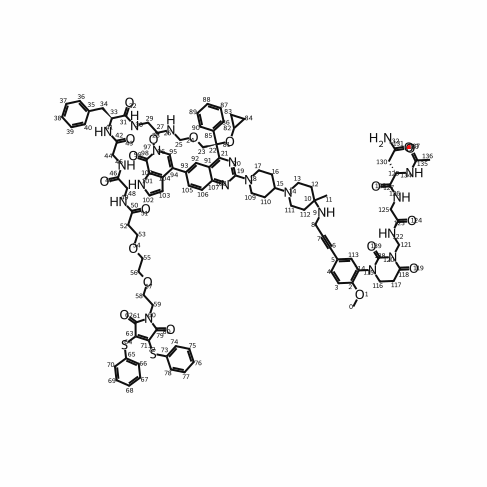 COc1ccc(C#CCNC2(C)CCN(C3CCN(c4nc([C@@](COCNC(=O)CNC(=O)[C@H](Cc5ccccc5)NC(=O)CNC(=O)CNC(=O)CCOCCOCCN5C(=O)C(Sc6ccccc6)=C(Sc6ccccc6)C5=O)(OC5CC5)c5ccccc5)c5cc(-c6cn(C)c(=O)c7[nH]ccc67)ccc5n4)CC3)CC2)cc1N1CCC(=O)N(CNC(=O)CNC(=O)[C@H](CC(N)=O)NC(C)=O)C1=O